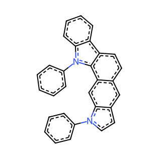 c1ccc(-n2ccc3cc4ccc5c6ccccc6n(-c6ccccc6)c5c4cc32)cc1